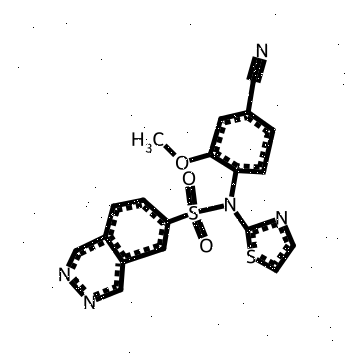 COc1cc(C#N)ccc1N(c1nccs1)S(=O)(=O)c1ccc2cnncc2c1